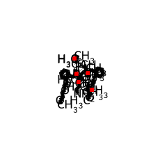 COCCOCOc1ccccc1CN(CC(CCCCN)N(Cc1ccccc1OCOCCOC)CP(=O)(OC(C)(C)C)OC(C)(C)C)CP(=O)(OC(C)(C)C)OC(C)(C)C